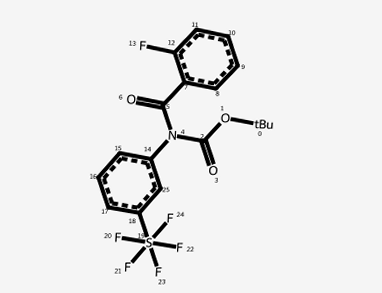 CC(C)(C)OC(=O)N(C(=O)c1ccccc1F)c1cccc(S(F)(F)(F)(F)F)c1